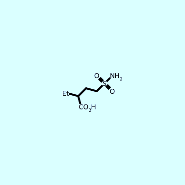 CCC(CCS(N)(=O)=O)C(=O)O